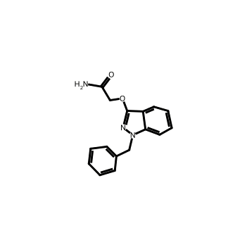 NC(=O)COc1nn(Cc2ccccc2)c2ccccc12